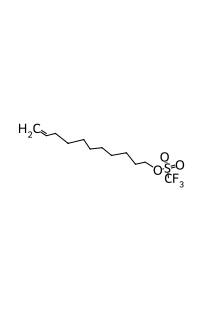 C=CCCCCCCCCCOS(=O)(=O)C(F)(F)F